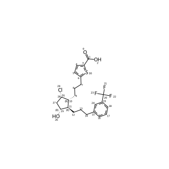 O=C(O)c1ccc(CCC[C@@H]2[C@@H](CCCc3cccc(C(F)(F)F)c3)[C@H](O)C[C@@H]2Cl)s1